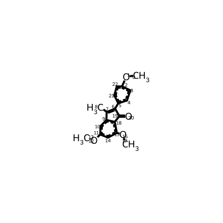 COc1ccc(C2=C(C)c3cc(OC)cc(OC)c3C2=O)cc1